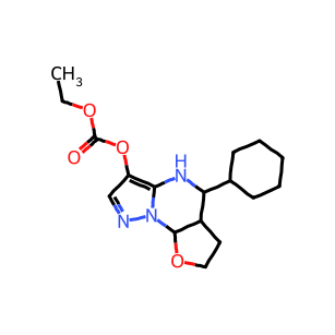 CCOC(=O)Oc1cnn2c1NC(C1CCCCC1)C1CCOC12